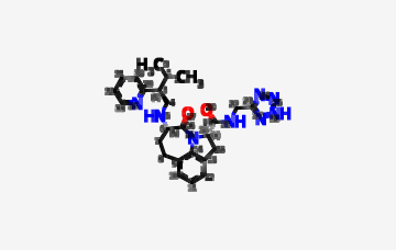 CC(C)[C@@H](CN[C@H]1CCc2cccc3c2N(C1=O)[C@H](C(=O)NCc1nn[nH]n1)C3)c1ccccn1